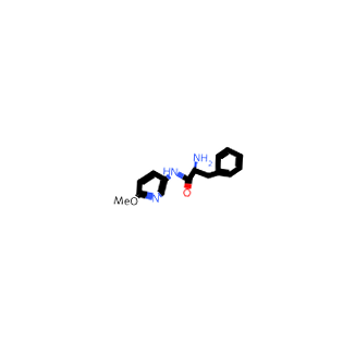 COc1ccc(NC(=O)[C@@H](N)Cc2ccccc2)cn1